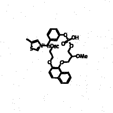 CCCCCCCCCCCCOc1ccc2ccccc2c1OCC(COP(=O)(O)Oc1cccc(C[n+]2csc(C)c2)c1)OC